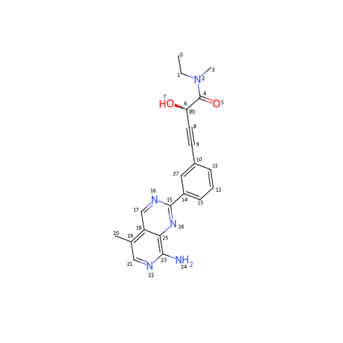 CCN(C)C(=O)[C@H](O)C#Cc1cccc(-c2ncc3c(C)cnc(N)c3n2)c1